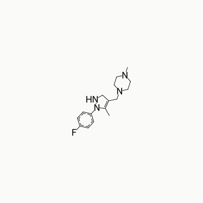 CC1=C(CN2CCN(C)CC2)CNN1c1ccc(F)cc1